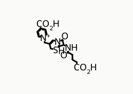 O=C(O)CCCC(=O)NC1C(=O)N2C=C(C[n+]3ccc(C(=O)O)cc3)CS[C@@H]12